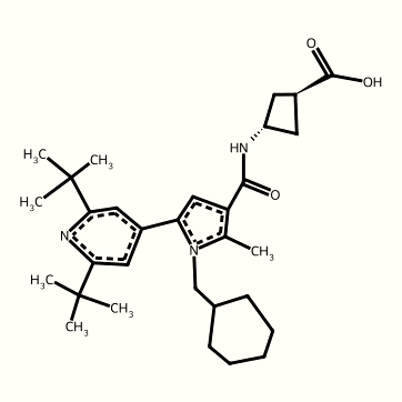 Cc1c(C(=O)N[C@H]2C[C@H](C(=O)O)C2)cc(-c2cc(C(C)(C)C)nc(C(C)(C)C)c2)n1CC1CCCCC1